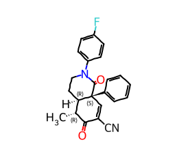 C[C@H]1C(=O)C(C#N)=C[C@@]2(c3ccccc3)C(=O)N(c3ccc(F)cc3)CC[C@H]12